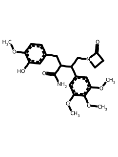 COc1ccc(CC(C(N)=O)C(CN2CCC2=O)c2cc(OC)c(OC)c(OC)c2)cc1O